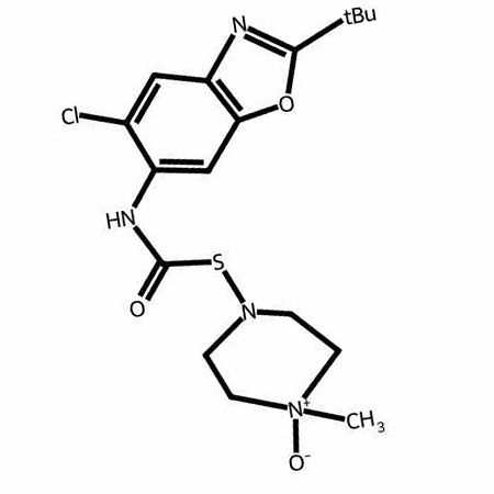 CC(C)(C)c1nc2cc(Cl)c(NC(=O)SN3CC[N+](C)([O-])CC3)cc2o1